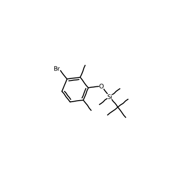 Cc1ccc(Br)c(C)c1O[Si](C)(C)C(C)(C)C